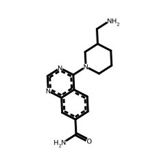 NCC1CCCN(c2ncnc3cc(C(N)=O)ccc23)C1